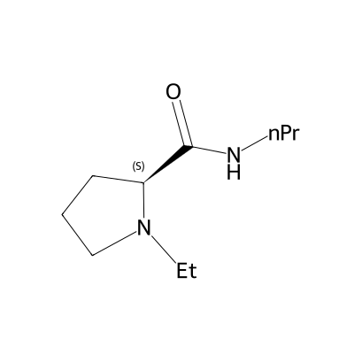 CCCNC(=O)[C@@H]1CCCN1CC